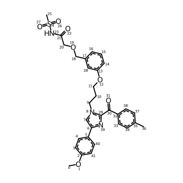 COc1ccc(-c2cn(CCCOc3cccc(COCC(=O)NS(C)(=O)=O)c3)c(C(=O)c3ccc(C)cc3)n2)cc1